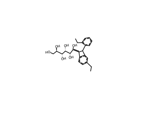 CCc1ccc2c(c1)C(c1ccccc1CC)C2=C(O)[C@H](O)[C@@H](O)[C@H](O)[C@H](O)CO